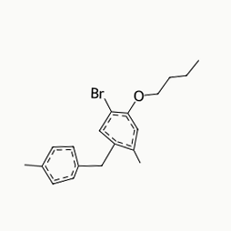 CCCCOc1cc(C)c(Cc2ccc(C)cc2)cc1Br